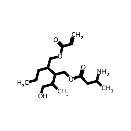 C=CC(=O)OCC(CCC)C(COC(=O)CC(C)N)C(C)CO